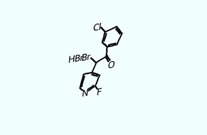 Br.O=C(c1cccc(Cl)c1)C(Br)c1ccnc(F)c1